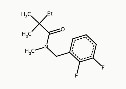 CCC(C)(C)C(=O)N(C)Cc1cccc(F)c1F